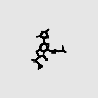 Cc1nc(C)c(-c2cc3c(c(NCCN(C)C)n2)C(=O)N([C@@H](C)C2CC2)C3)s1